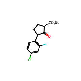 CCOC(=O)C1CCC(c2ccc(Cl)cc2F)C1=O